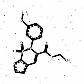 CCOC(=O)C1=Cc2ccsc2S(=O)(=O)N1c1cccc(OC)c1